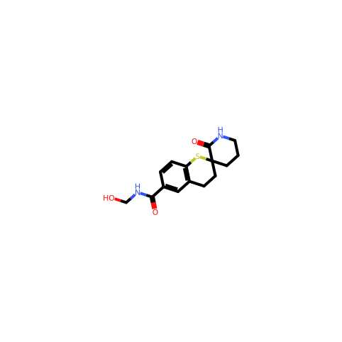 O=C(NCO)c1ccc2c(c1)CCC1(CCCNC1=O)S2